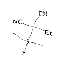 CCC(C#N)(C#N)S(C)(C)F